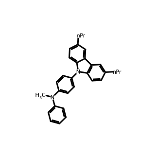 CCCc1ccc2c(c1)c1cc(CCC)ccc1n2-c1ccc(N(C)c2ccccc2)cc1